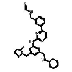 CC1CCCN1Cc1cc(CNC2CCCCC2)cc(Nc2nccc(-c3cccc(CNC=O)c3)n2)c1